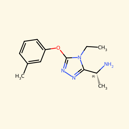 CCn1c(Oc2cccc(C)c2)nnc1[C@@H](C)N